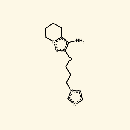 Nc1c(OCCCn2ccnc2)nn2c1CCCC2